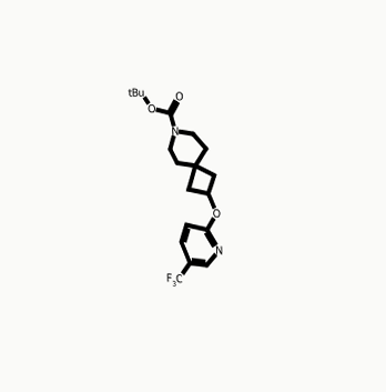 CC(C)(C)OC(=O)N1CCC2(CC1)CC(Oc1ccc(C(F)(F)F)cn1)C2